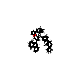 c1ccc(-c2ccccc2N(c2cccc(-c3cc4ccccc4c4ccccc34)c2)c2ccc3c(c2)sc2c4ccccc4ccc32)cc1